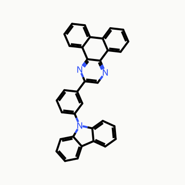 c1cc(-c2cnc3c4ccccc4c4ccccc4c3n2)cc(-n2c3ccccc3c3ccccc32)c1